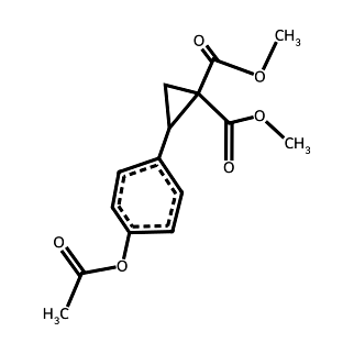 COC(=O)C1(C(=O)OC)CC1c1ccc(OC(C)=O)cc1